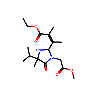 CCOC(=O)/C(C)=C(/C)C1NC(C)(C(C)C)C(=O)N1CC(=O)OC